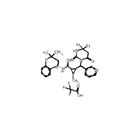 CCC1(CC)CC(=O)N(C(c2cccnc2)C2C(C)C2C(=O)N[C@H]2CC(C)(C)Oc3ccccc32)C(=N)N1.O=C(O)C(F)(F)F